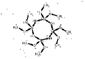 CO[Si]1(OC)N[Si](OC)(OC)O[Si](OC)(OC)N[Si](OC)(OC)O1